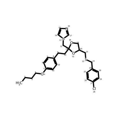 CCCCOc1ccc(CCC2(Cn3ccnc3)OCC(CSCc3ccc(Cl)cc3)O2)cc1